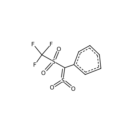 O=S(=O)=C(c1ccccc1)S(=O)(=O)C(F)(F)F